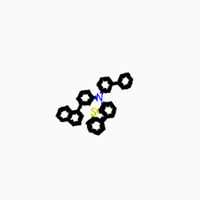 c1ccc(-c2cccc(N(c3cccc(-c4cccc5ccccc45)c3)c3cccc4c3sc3ccccc34)c2)cc1